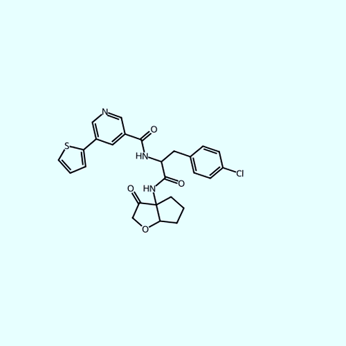 O=C(NC(Cc1ccc(Cl)cc1)C(=O)NC12CCCC1OCC2=O)c1cncc(-c2cccs2)c1